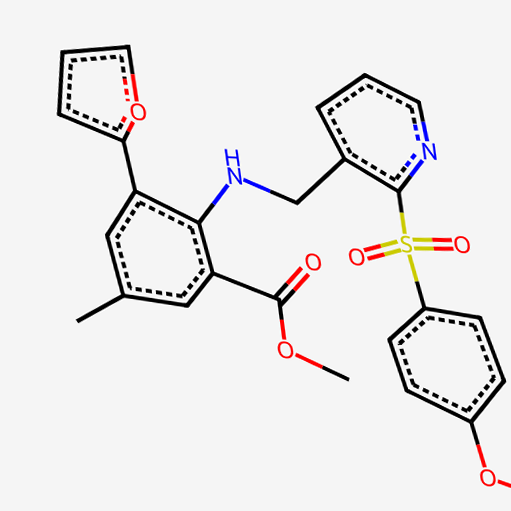 COC(=O)c1cc(C)cc(-c2ccco2)c1NCc1cccnc1S(=O)(=O)c1ccc(OC)cc1